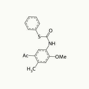 COc1cc(C)c(C(C)=O)cc1NC(=O)Sc1ccccc1